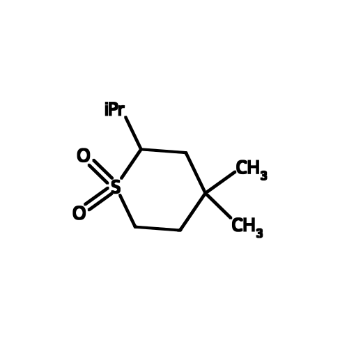 CC(C)C1CC(C)(C)CCS1(=O)=O